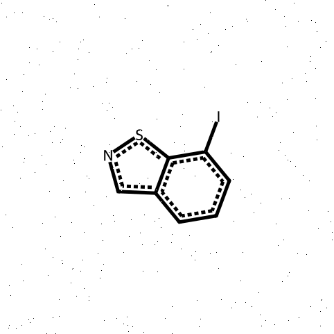 Ic1cccc2cnsc12